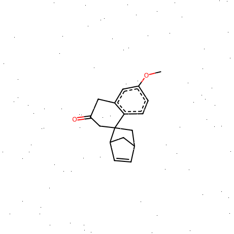 COc1ccc2c(c1)CC(=O)CC21CC2C=CC1C2